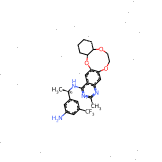 Cc1nc(N[C@H](C)c2cc(N)cc(C(F)(F)F)c2)c2cc3c(cc2n1)OCCOC1CCCCC1O3